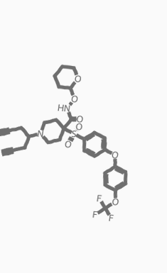 C#CCC(CC#C)N1CCC(C(=O)NOC2CCCCO2)(S(=O)(=O)c2ccc(Oc3ccc(OC(F)(F)F)cc3)cc2)CC1